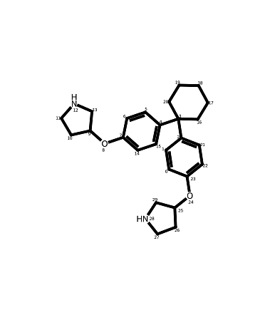 c1cc(C2(c3ccc(OC4CCNC4)cc3)CCCCC2)ccc1OC1CCNC1